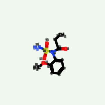 CCC(=O)N(c1ccccc1OC)S(N)(=O)=O